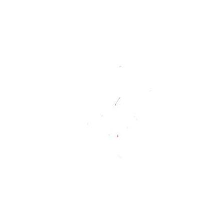 CC12Oc3ccccc3C1C=CCC2N(c1ccc(-c2ccccc2)cc1)c1ccccc1-c1ccccc1N(c1ccc(-c2ccccc2)cc1)c1ccc(-c2ccccc2)cc1